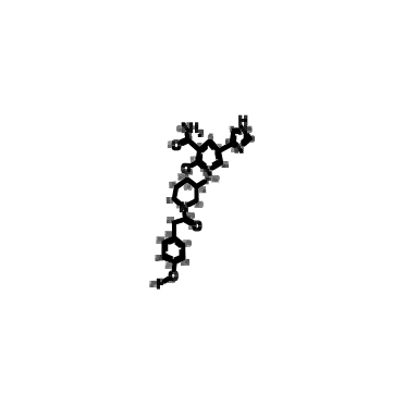 NC(=O)c1cc(-c2c[nH]cn2)cnc1O[C@H]1CCN(C(=O)Cc2ccc(OF)cc2)CC1F